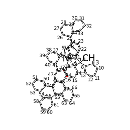 CC1(c2ccccc2)c2ccccc2-c2cccc(N(c3cccc(-c4cccc5ccccc45)c3)c3ccccc3-c3ccc4c(c3)c(-c3ccccc3)c(-c3ccccc3)c3ccccc34)c21